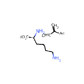 C=C(C=O)C(C)=O.NCCCC[C@H](N)C(=O)O